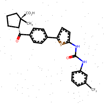 C[C@@]1(C(=O)O)CCC[C@H]1C(=O)c1ccc(-c2ccc(NC(=O)Nc3cccc(C(F)(F)F)c3)s2)cc1